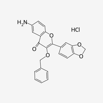 Cl.Nc1ccc2oc(-c3ccc4c(c3)OCO4)c(OCc3ccccc3)c(=O)c2c1